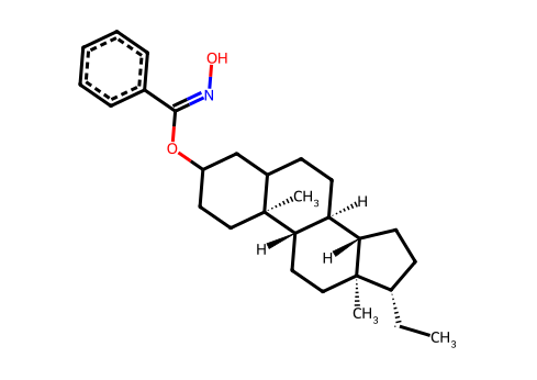 C[CH][C@H]1CC[C@H]2[C@@H]3CCC4CC(OC(=NO)c5ccccc5)CC[C@]4(C)[C@H]3CC[C@]12C